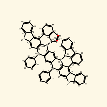 c1ccc(N2c3cc4c(cc3B3c5c2cc2sc6ccccc6c2c5-c2cccc5c6ccccc6n3c25)B2c3c(cc5sc6ccccc6c5c3-c3cccc5c6ccccc6n2c35)N4c2ccccc2)cc1